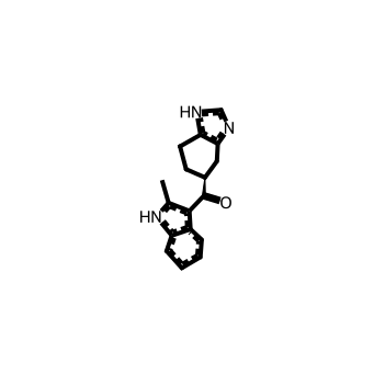 Cc1[nH]c2ccccc2c1C(=O)[C@H]1CCc2[nH]cnc2C1